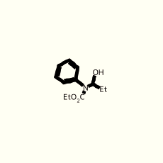 CCOC(=O)N(c1ccccc1)C(O)CC